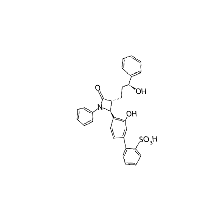 O=C1[C@H](CC[C@H](O)c2ccccc2)[C@@H](c2ccc(-c3ccccc3S(=O)(=O)O)cc2O)N1c1ccccc1